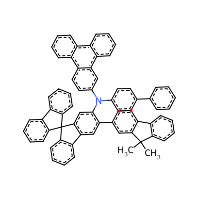 CC1(C)c2ccccc2-c2ccc(-c3cc4c(cc3N(c3ccc(-c5ccccc5)cc3)c3ccc5c6ccccc6c6ccccc6c5c3)C3(c5ccccc5-c5ccccc53)c3ccccc3-4)cc21